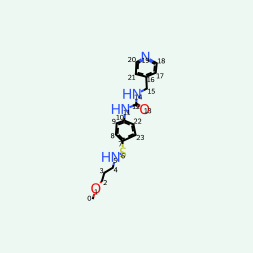 COCCCNSc1ccc(NC(=O)NCc2ccncc2)cc1